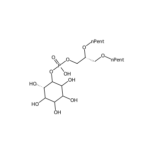 CCCCCOC[C@H](COP(=O)(O)OC1C(O)C(O)C(O)C(O)[C@@H]1O)OCCCCC